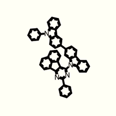 c1ccc(-c2nc3c(c(-n4c5ccccc5c5ccc(-c6ccc7c(c6)c6ccccc6n7-c6ccccc6)cc54)n2)-c2cccc4cccc-3c24)cc1